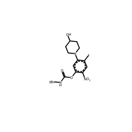 CC(C)(C)NC(=O)Oc1cc(N2CCC(O)CC2)c(I)cc1[N+](=O)[O-]